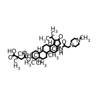 CC(C)C1=C2[C@H]3CC[C@@H]4[C@@]5(C)CC[C@H](OC(=O)CC(C)(C)C(=O)O)C(C)(C)[C@@H]5CC[C@@]4(C)[C@]3(C)CC[C@@]2(NC(=O)CN2CCN(C)CC2)CC1=O